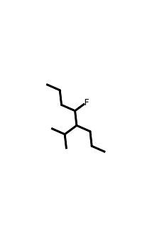 CCCC(F)C(CCC)C(C)C